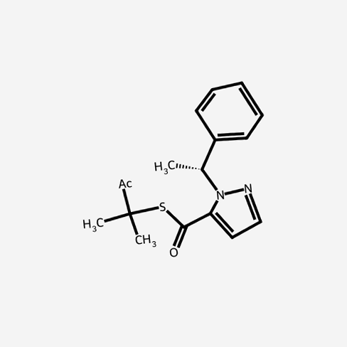 CC(=O)C(C)(C)SC(=O)c1ccnn1[C@H](C)c1ccccc1